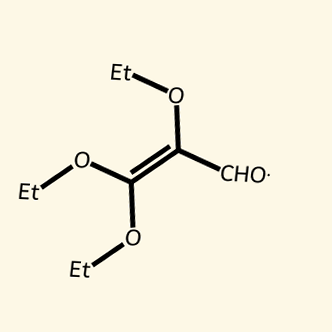 CCOC([C]=O)=C(OCC)OCC